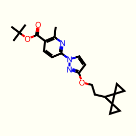 Cc1nc(-n2ccc(OCCC3C4(CC4)C34CC4)n2)ccc1C(=O)OC(C)(C)C